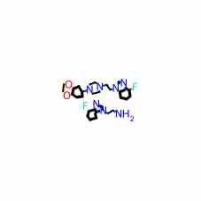 Fc1cccc2c1ncn2CCN1CCN(c2ccc3c(c2)OCCO3)CC1.NCCn1cnc2c(F)cccc21